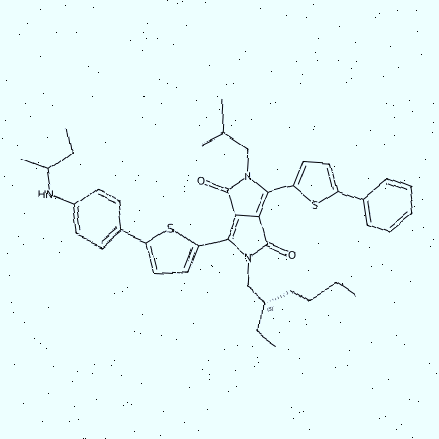 CCCC[C@H](CC)CN1C(=O)C2=C(c3ccc(-c4ccccc4)s3)N(CC(C)C)C(=O)C2=C1c1ccc(-c2ccc(NC(C)CC)cc2)s1